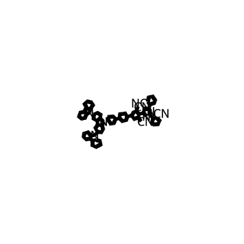 N#Cc1ccccc1-c1cc(-c2c(C#N)cc(-c3ccc(-c4ccc(-n5c6ccc(-n7c8ccccc8c8ccccc87)cc6c6cc(-n7c8ccccc8c8ccccc87)ccc65)cc4)cc3)cc2C#N)nc(-c2ccccc2C#N)n1